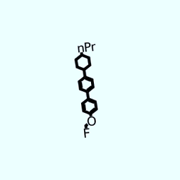 CCCC1CCC(c2ccc(-c3ccc(OCF)cc3)cc2)CC1